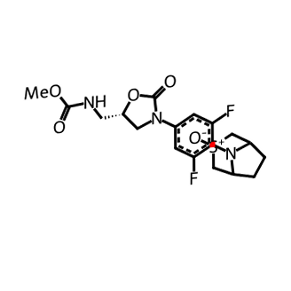 COC(=O)NC[C@H]1CN(c2cc(F)c(N3C4CCC3C[S+]([O-])C4)c(F)c2)C(=O)O1